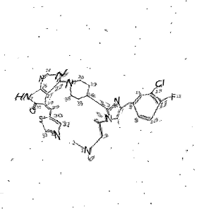 CN(C)CCn1cc(-c2ccc(F)c(Cl)c2)nc1C1CCN(c2ncnc3c2C(=Cc2cncs2)C(=O)N3)CC1